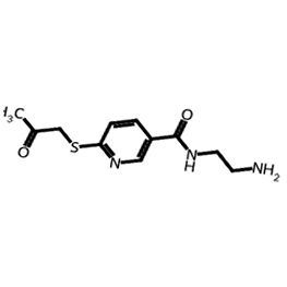 CC(=O)CSc1ccc(C(=O)NCCN)cn1